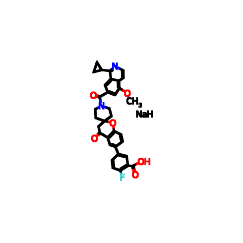 COc1cc(C(=O)N2CCC3(CC2)CC(=O)c2cc(-c4ccc(F)c(C(=O)O)c4)ccc2O3)cc2c(C3CC3)nccc12.[NaH]